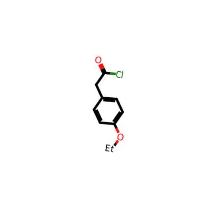 CCOc1ccc(CC(=O)Cl)cc1